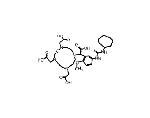 COc1ccc(NC(=S)NC2CCCCCC2)cc1C(C(=O)O)N1CCN(CC(=O)O)CCN(CC(=O)O)CCN(CC(=O)O)CC1